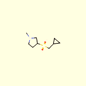 CN1CCC(S(=O)(=O)CC2CC2)C1